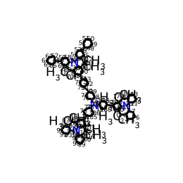 CC1(C)c2ccccc2N2c3ccccc3C(C)(C)c3cc(-c4ccc(N(c5ccc(-c6ccc(-c7cc8c9c(c7)C(C)(C)c7cc(-c%10ccccc%10)ccc7N9c7ccc(-c9ccccc9)cc7C8(C)C)cc6)cc5)c5ccc(-c6cc7c8c(c6)C(C)(C)c6ccccc6N8c6ccccc6C7(C)C)cc5)cc4)cc1c32